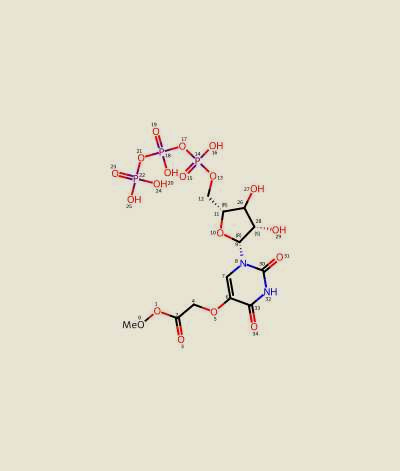 COOC(=O)COc1cn([C@@H]2O[C@H](COP(=O)(O)OP(=O)(O)OP(=O)(O)O)C(O)[C@@H]2O)c(=O)[nH]c1=O